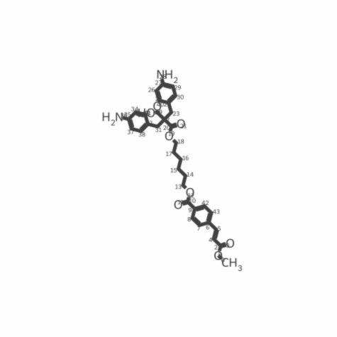 COC(=O)C=Cc1ccc(C(=O)OCCCCCCOC(=O)C(Cc2ccc(N)cc2)(Cc2ccc(N)cc2)C(=O)O)cc1